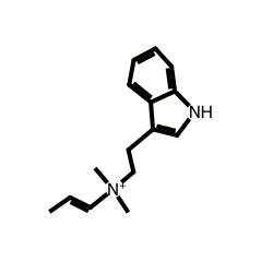 C/C=C/[N+](C)(C)CCc1c[nH]c2ccccc12